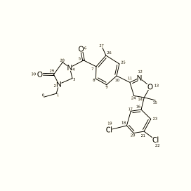 CCN1CN(C(=O)c2ccc(C3=NOC(C)(c4cc(Cl)cc(Cl)c4)C3)cc2C)CC1=O